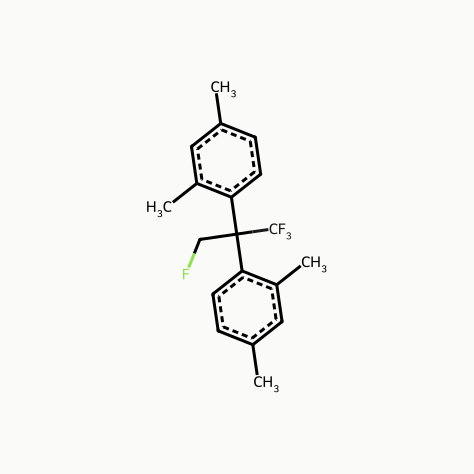 Cc1ccc(C(CF)(c2ccc(C)cc2C)C(F)(F)F)c(C)c1